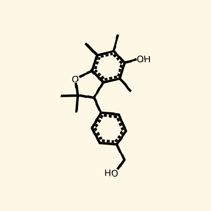 Cc1c(C)c2c(c(C)c1O)C(c1ccc(CO)cc1)C(C)(C)O2